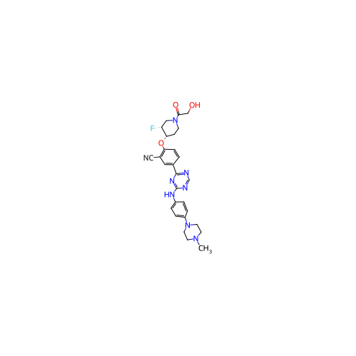 CN1CCN(c2ccc(Nc3ncnc(-c4ccc(O[C@H]5CCN(C(=O)CO)C[C@H]5F)c(C#N)c4)n3)cc2)CC1